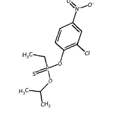 CCP(=S)(Oc1ccc([N+](=O)[O-])cc1Cl)OC(C)C